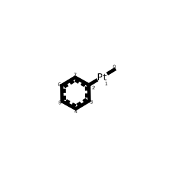 [CH3][Pt][c]1ccccc1